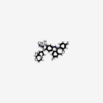 N#C/N=c1\[nH]c2cc(/C=C3\c4ccc(F)cc4COc4cc(F)ccc43)ccc2n1[C@H]1C[C@H]2COCCN2C1